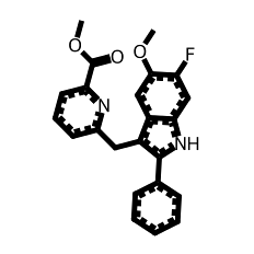 COC(=O)c1cccc(Cc2c(-c3ccccc3)[nH]c3cc(F)c(OC)cc23)n1